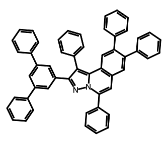 c1ccc(-c2cc(-c3ccccc3)cc(-c3nn4c(-c5ccccc5)cc5cc(-c6ccccc6)c(-c6ccccc6)cc5c4c3-c3ccccc3)c2)cc1